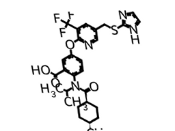 CC(C)N(c1ccc(Oc2ncc(CSc3ncc[nH]3)cc2C(F)(F)F)cc1C(=O)O)C(=O)[C@H]1CC[C@H](C)CC1